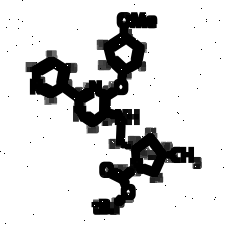 COc1ccc(Oc2nc(-c3cccnc3)ncc2NC[C@@H]2C[C@@H](C)CN2C(=O)OC(C)(C)C)cc1